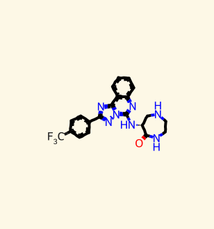 O=C1NCCNC[C@H]1Nc1nc2ccccc2c2nc(-c3ccc(C(F)(F)F)cc3)nn12